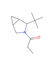 CCC(=O)N1CC2CC2C1C(C)(C)C